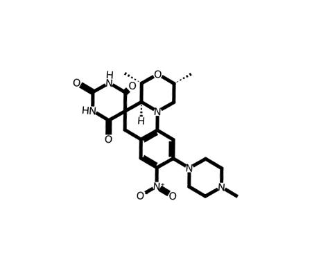 C[C@@H]1CN2c3cc(N4CCN(C)CC4)c([N+](=O)[O-])cc3CC3(C(=O)NC(=O)NC3=O)[C@H]2[C@H](C)O1